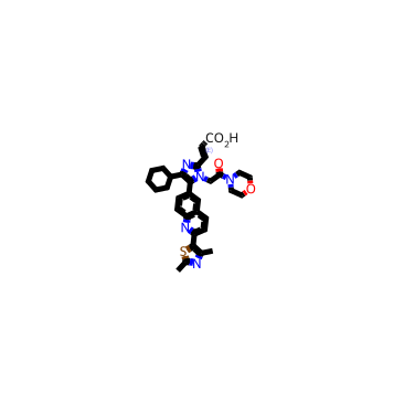 Cc1nc(C)c(-c2ccc3cc(-c4c(C5CCCCC5)nc(/C=C/C(=O)O)n4CC(=O)N4CCOCC4)ccc3n2)s1